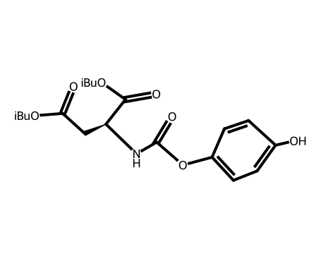 CC(C)COC(=O)C[C@H](NC(=O)Oc1ccc(O)cc1)C(=O)OCC(C)C